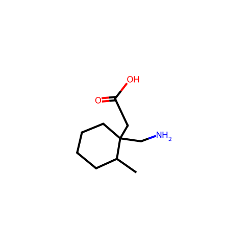 CC1CCCCC1(CN)CC(=O)O